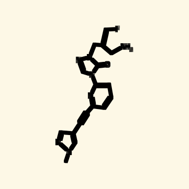 Cn1cc(C#Cc2cccc(-n3cnn(C/C(=C/F)CN)c3=O)n2)cn1